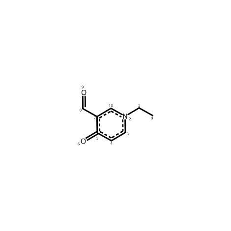 CCn1ccc(=O)c(C=O)c1